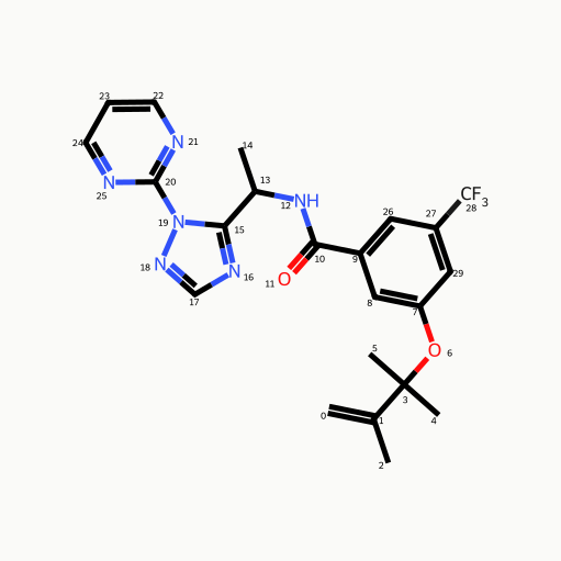 C=C(C)C(C)(C)Oc1cc(C(=O)NC(C)c2ncnn2-c2ncccn2)cc(C(F)(F)F)c1